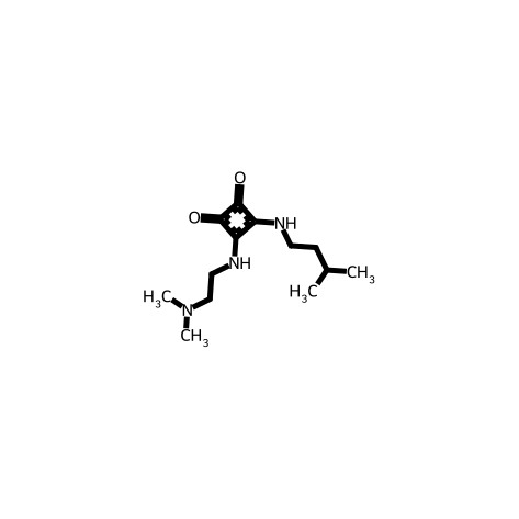 CC(C)CCNc1c(NCCN(C)C)c(=O)c1=O